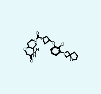 O=C1COC2CCN(C(=O)N3CC(Oc4cccc(N5CC6(CCCO6)C5)c4Cl)C3)C[C@H]2N1